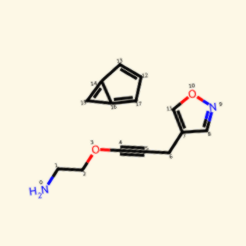 NCCOC#CCc1cnoc1.c1cc2cc-2c1